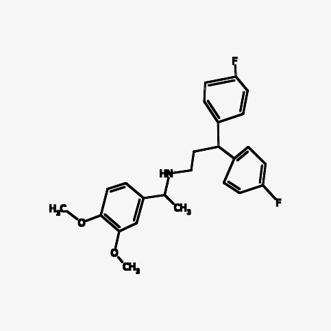 COc1ccc(C(C)NCCC(c2ccc(F)cc2)c2ccc(F)cc2)cc1OC